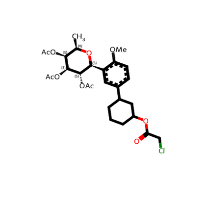 COc1ccc(C2CCCC(OC(=O)CCl)C2)cc1[C@@H]1O[C@H](C)[C@H](OC(C)=O)[C@H](OC(C)=O)[C@H]1OC(C)=O